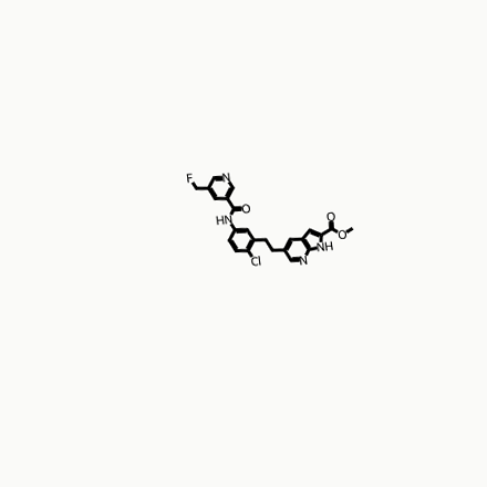 COC(=O)c1cc2cc(CCc3cc(NC(=O)c4cncc(CF)c4)ccc3Cl)cnc2[nH]1